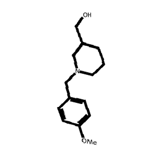 COc1ccc(CN2CCCC(CO)C2)cc1